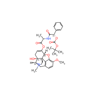 COc1ccc2c3c1O[C@H]1C(OC(=O)C(C)NC(=O)[C@@H](OC(=O)OC(C)(C)C)c4ccccc4)=CC[C@@]4(O)[C@@H](C2)N(C)CC[C@]314